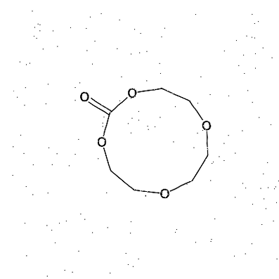 O=C1OCCOCCOCCO1